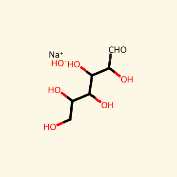 O=CC(O)C(O)C(O)C(O)CO.[Na+].[OH-]